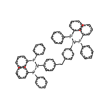 c1ccc(P(c2ccccc2)N(c2ccc(Cc3ccc(N(P(c4ccccc4)c4ccccc4)P(c4ccccc4)c4ccccc4)cc3)cc2)P(c2ccccc2)c2ccccc2)cc1